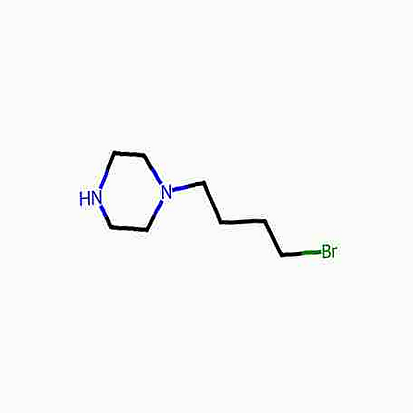 BrCCCCN1CCNCC1